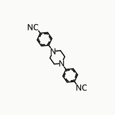 [C-]#[N+]c1ccc(N2CCN(c3ccc(C#N)cc3)CC2)cc1